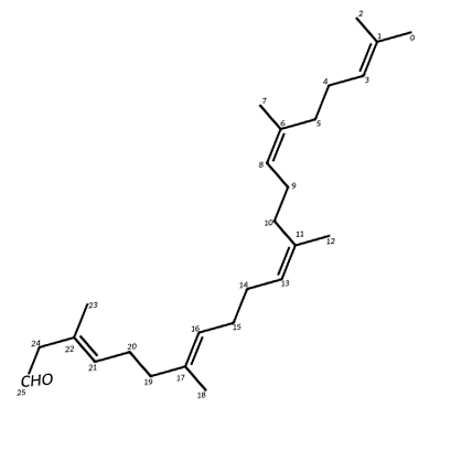 CC(C)=CCCC(C)=CCCC(C)=CCCC=C(C)CCC=C(C)CC=O